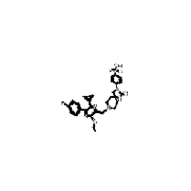 CCOc1nc(-c2ccc(F)cc2)c(C2CC2)nc1CN1CCC2(CC1)CN(c1ccc(S(=O)(=O)O)cc1)C(=O)O2